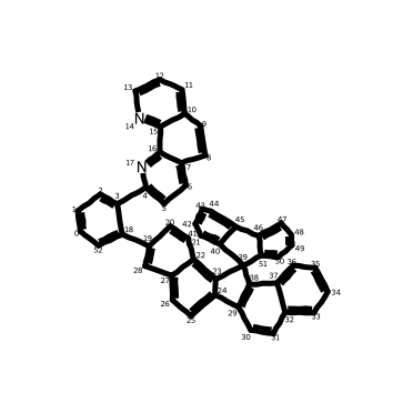 c1ccc(-c2ccc3ccc4cccnc4c3n2)c(-c2ccc3c4c(ccc3c2)-c2ccc3ccccc3c2C42c3ccccc3-c3ccccc32)c1